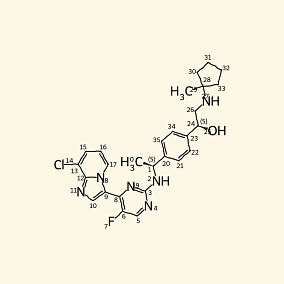 C[C@H](Nc1ncc(F)c(-c2cnc3c(Cl)cccn23)n1)c1ccc([C@H](O)CNC2(C)CCCC2)cc1